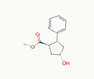 COC(=O)[C@@H]1C[C@@H](O)CC1c1ccccc1